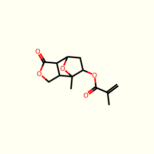 C=C(C)C(=O)OC1CC2OC1(C)C1COC(=O)C21